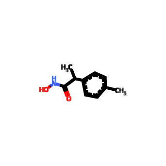 Cc1ccc(C(C)C(=O)NO)cc1